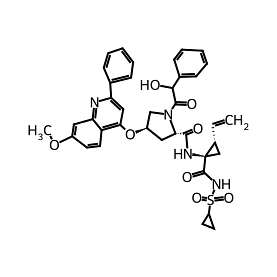 C=C[C@@H]1C[C@]1(NC(=O)[C@@H]1C[C@@H](Oc2cc(-c3ccccc3)nc3cc(OC)ccc23)CN1C(=O)C(O)c1ccccc1)C(=O)NS(=O)(=O)C1CC1